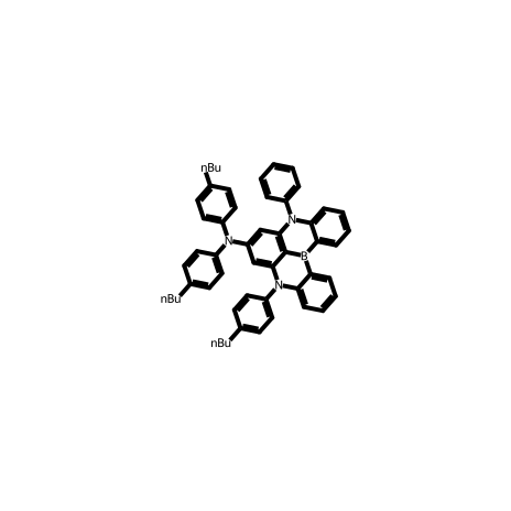 CCCCc1ccc(N(c2ccc(CCCC)cc2)c2cc3c4c(c2)N(c2ccc(CCCC)cc2)c2ccccc2B4c2ccccc2N3c2ccccc2)cc1